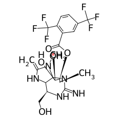 C=C1NC2[C@H](CO)NC(=N)N3[C@@H](C)[C@H](OC(=O)c4cc(C(F)(F)F)ccc4C(F)(F)F)[C@](C)(O)C23N1O